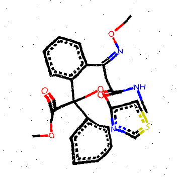 CNC(=O)/C(=N/OC)c1ccccc1C(Oc1cscn1)(C(=O)OC)c1ccccc1